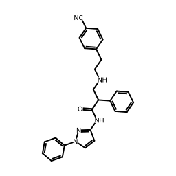 N#Cc1ccc(CCNCC(C(=O)Nc2ccn(-c3ccccc3)n2)c2ccccc2)cc1